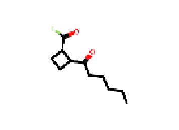 CCCCCC(=O)C1CC[C@H]1C(=O)F